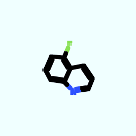 Fc1c[c]cc2ncccc12